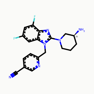 N#Cc1ccc(Cn2c(N3CCC[C@H](N)C3)nc3c(F)cc(F)cc32)nc1